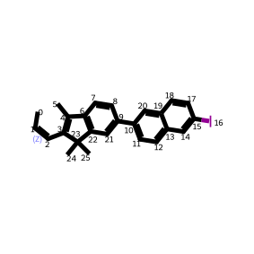 C/C=C\C1=C(C)c2ccc(-c3ccc4cc(I)ccc4c3)cc2C1(C)C